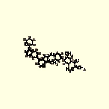 Cc1cc(C(=O)N(C)C)ccc1C1=CCN(Cc2cc3c(-c4ccc5c(cnn5C5CCCCO5)c4)ccnc3n2C)CC1